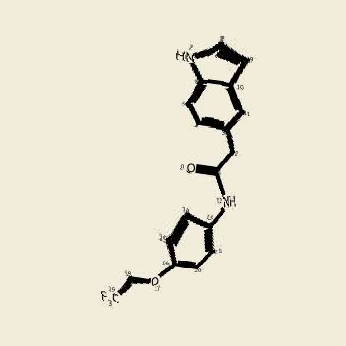 O=C(Cc1ccc2[nH]ccc2c1)Nc1ccc(OCC(F)(F)F)cc1